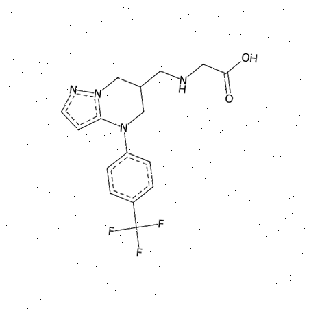 O=C(O)CNCC1CN(c2ccc(C(F)(F)F)cc2)c2ccnn2C1